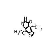 COc1c2cn[nH]c(=O)c2c(OC)c2ccoc12